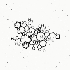 CC(=O)O[C@@]12CO[C@@H]1CC[C@@]1(C)[C@@H]3O[C@H](CN4CCC4)O[C@@H]3C3=C(C)[C@@H](OC(=O)[C@](C)(O)[C@@H](NC(=O)OC(C)C)c4ccccn4)C[C@@](O)([C@@H](OC(=O)c4ccccc4)[C@@H]12)C3(C)C